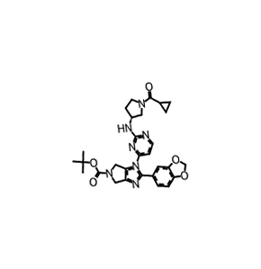 CC(C)(C)OC(=O)N1Cc2nc(-c3ccc4c(c3)OCO4)n(-c3ccnc(N[C@H]4CCN(C(=O)C5CC5)C4)n3)c2C1